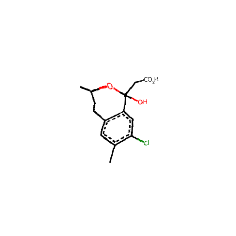 Cc1cc2c(cc1Cl)C(O)(CC(=O)O)OC(C)C2